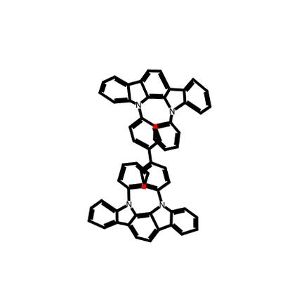 c1ccc(-n2c3ccccc3c3ccc4c5ccccc5n(-c5ccc(-c6ccc(-n7c8ccccc8c8ccc9c%10ccccc%10n(-c%10ccccc%10)c9c87)cc6)cc5)c4c32)cc1